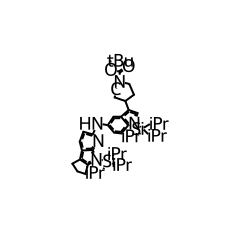 CC(C)[Si](C(C)C)(C(C)C)n1cc(C2CCN(C(=O)OC(C)(C)C)CC2)c2cc(Nc3ccc4c5c(n([Si](C(C)C)(C(C)C)C(C)C)c4n3)CCC5)ccc21